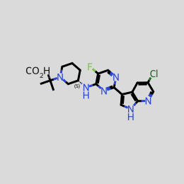 CC(C)(C(=O)O)N1CCC[C@H](Nc2nc(-c3c[nH]c4ncc(Cl)cc34)ncc2F)C1